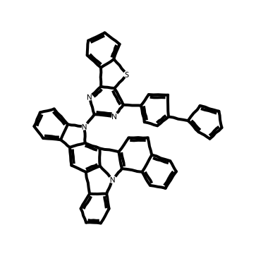 c1ccc(-c2ccc(-c3nc(-n4c5ccccc5c5cc6c7ccccc7n7c8c9ccccc9ccc8c(c54)c67)nc4c3sc3ccccc34)cc2)cc1